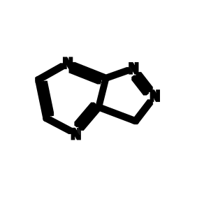 c1cnc2c(n1)CN=N2